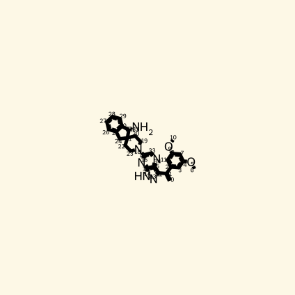 C=C(c1cc(OC)cc(OC)c1)c1n[nH]c2nc(N3CCC4(CC3)Cc3ccccc3[C@H]4N)cnc12